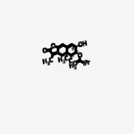 CC1=C2C[C@@]3(C)C(=C[C@H](O)[C@H](OC(=O)C(C)C)[C@@H]3C)C=C2OC1=O